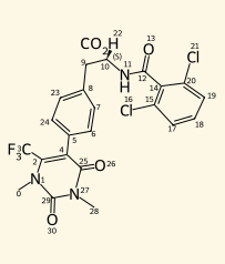 Cn1c(C(F)(F)F)c(-c2ccc(C[C@H](NC(=O)c3c(Cl)cccc3Cl)C(=O)O)cc2)c(=O)n(C)c1=O